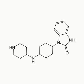 O=c1[nH]c2ccccc2n1C1CCC(NC2CCNCC2)CC1